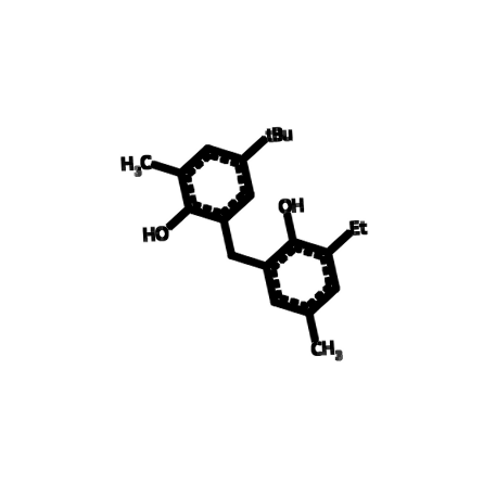 CCc1cc(C)cc(Cc2cc(C(C)(C)C)cc(C)c2O)c1O